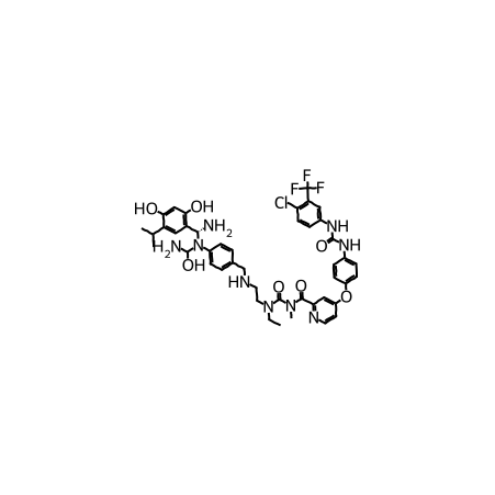 CCN(CCNCc1ccc(N(C(N)O)[C@@H](N)c2cc(C(C)C)c(O)cc2O)cc1)C(=O)N(C)C(=O)c1cc(Oc2ccc(NC(=O)Nc3ccc(Cl)c(C(F)(F)F)c3)cc2)ccn1